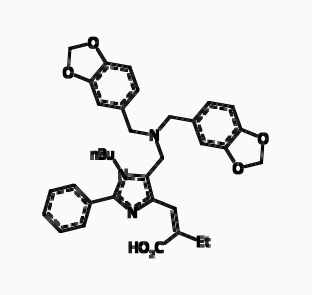 CCCCn1c(-c2ccccc2)nc(C=C(CC)C(=O)O)c1CN(Cc1ccc2c(c1)OCO2)Cc1ccc2c(c1)OCO2